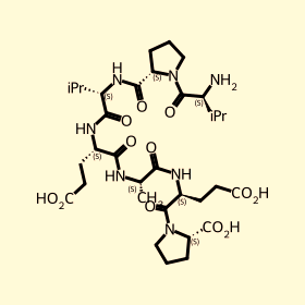 CC(C)[C@H](N)C(=O)N1CCC[C@H]1C(=O)N[C@H](C(=O)N[C@@H](CCC(=O)O)C(=O)N[C@@H](C)C(=O)N[C@@H](CCC(=O)O)C(=O)N1CCC[C@H]1C(=O)O)C(C)C